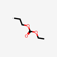 [CH2]CCOC(=O)OCC